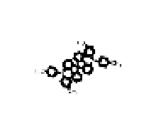 Cc1ccc(N(c2ccc(C)cc2)c2cccc3c2-c2ccccc2C32c3ccccc3-c3c(N(c4ccc(C)cc4)c4ccc(C)cc4)cccc32)cc1